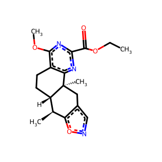 CCOC(=O)c1nc(OC)c2c(n1)[C@@]1(C)Cc3cnoc3[C@@H](C)[C@@H]1CC2